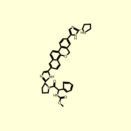 COC(=O)NC(C(=O)N1CCC[C@H]1c1ncc(-c2ccc3c4c(ccc3c2)-c2ccc(-c3cnc([C@@H]5CCCN5)[nH]3)cc2CO4)[nH]1)c1ccccc1